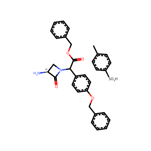 Cc1ccc(S(=O)(=O)O)cc1.N[C@H]1CN(C(C(=O)OCc2ccccc2)c2ccc(OCc3ccccc3)cc2)C1=O